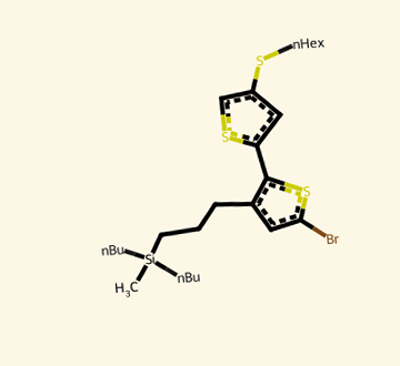 CCCCCCSc1csc(-c2sc(Br)cc2CCC[Si](C)(CCCC)CCCC)c1